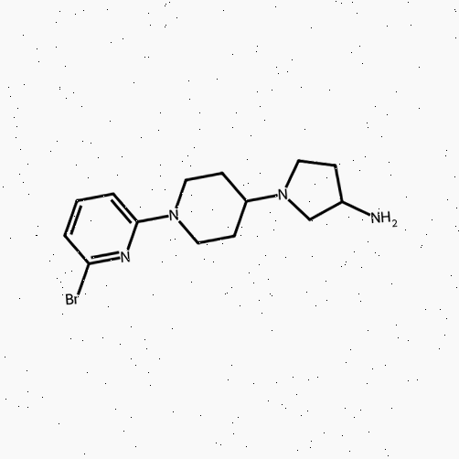 NC1CCN(C2CCN(c3cccc(Br)n3)CC2)C1